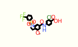 COc1cc(C(=O)Nc2ccc(C(=O)O)c(Cl)c2)cc2c1CCN2S(=O)(=O)c1cccc(C(F)(F)F)c1